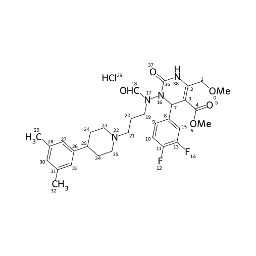 COCC1=C(C(=O)OC)C(c2ccc(F)c(F)c2)N(N(C=O)CCCN2CCC(c3cc(C)cc(C)c3)CC2)C(=O)N1.Cl